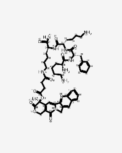 CC[C@@]1(OC(=O)CCC(=O)NCCCC[C@H](NC(=O)[C@H](CCCCN)NC(=O)[C@H](Cc2ccccc2)NC(=O)[C@@H](N)CCCCN)C(N)=O)C(=O)OCc2c1cc1n(c2=O)Cc2cc3ccccc3nc2-1